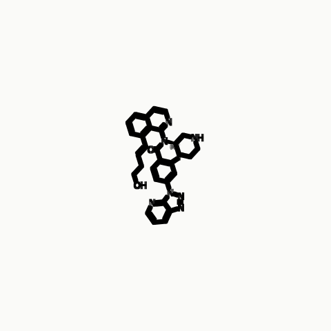 O=C(c1ccc(-n2nnc3cccnc32)cc1F)N(c1nccc2cccc(C=CCCO)c12)[C@@H]1CCCNC1